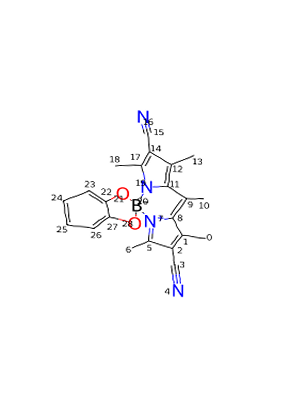 CC1=C(C#N)C(C)=[N+]2C1=C(C)c1c(C)c(C#N)c(C)n1[B-]21Oc2ccccc2O1